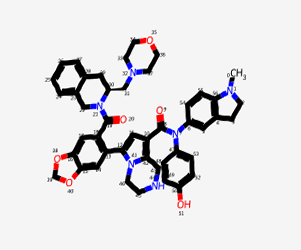 CN1CCc2cc(N(C(=O)c3cc(-c4cc5c(cc4C(=O)N4Cc6ccccc6C[C@H]4CN4CCOCC4)OCO5)n4c3CNCC4)c3ccc(O)cc3)ccc21